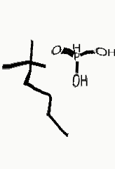 CCCCC(C)(C)C.O=[PH](O)O